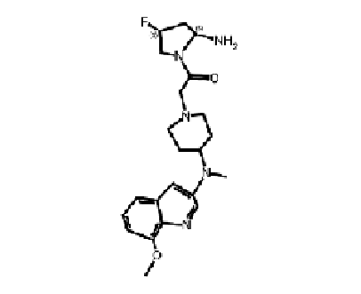 COc1cccc2cc(N(C)C3CCN(CC(=O)N4C[C@@H](F)C[C@H]4N)CC3)cnc12